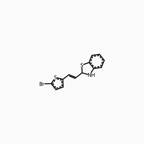 Brc1ccc(/C=C/C2Nc3ccccc3S2)s1